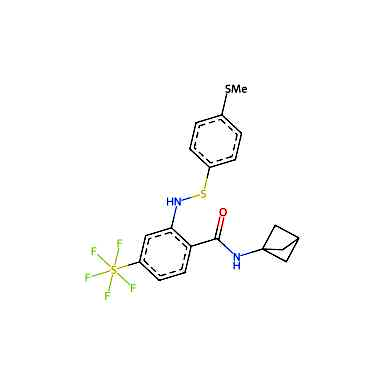 CSc1ccc(SNc2cc(S(F)(F)(F)(F)F)ccc2C(=O)NC23CC(C2)C3)cc1